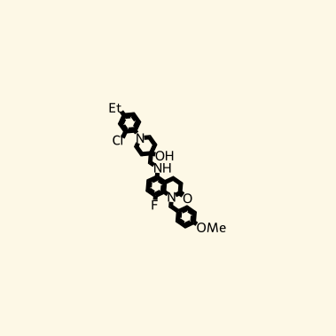 CCc1ccc(N2CCC(O)(CNc3ccc(F)c4c3CCC(=O)N4Cc3ccc(OC)cc3)CC2)c(Cl)c1